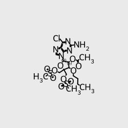 CCCCOC1[C@H](OC(C)=O)[C@H](n2cnc3c(Cl)nc(N)nc32)OC1(COS(C)(=O)=O)COS(C)(=O)=O